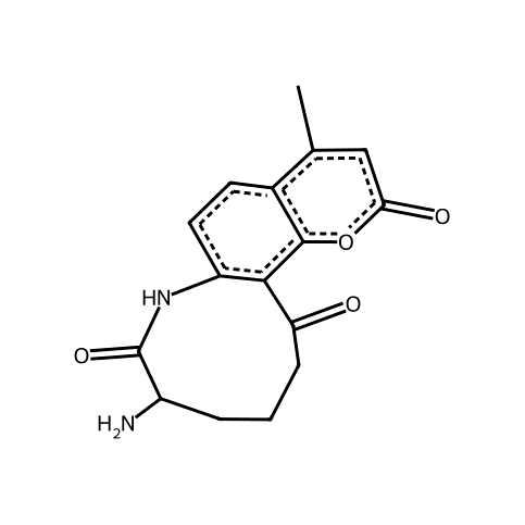 Cc1cc(=O)oc2c3c(ccc12)NC(=O)C(N)CCCC3=O